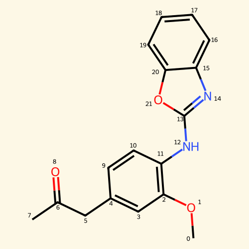 COc1cc(CC(C)=O)ccc1Nc1nc2ccccc2o1